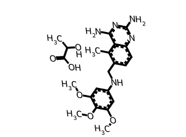 CC(O)C(=O)O.COc1cc(NCc2ccc3nc(N)nc(N)c3c2C)cc(OC)c1OC